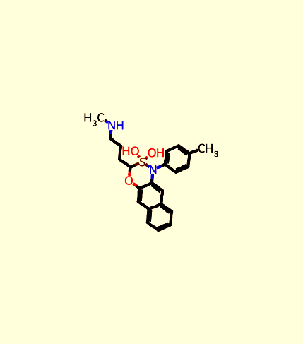 CNCCCC1Oc2cc3ccccc3cc2N(c2ccc(C)cc2)S1(O)O